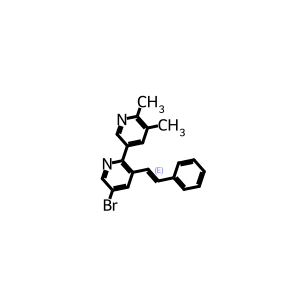 Cc1cc(-c2ncc(Br)cc2/C=C/c2ccccc2)cnc1C